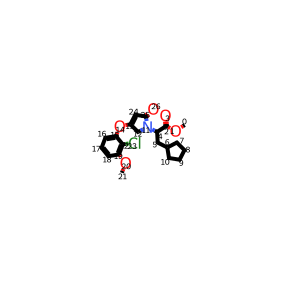 COC(=O)C(CC1CCCC1)N1CC(Oc2cccc(OC)c2Cl)=CC1=O